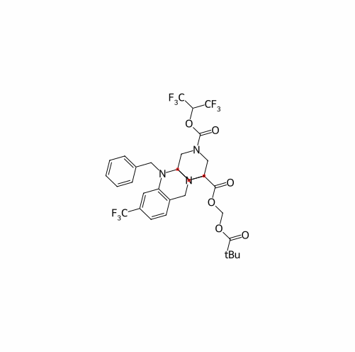 CC(C)(C)C(=O)OCOC(=O)CCCN(Cc1ccccc1)c1cc(C(F)(F)F)ccc1CN1CCN(C(=O)OC(C(F)(F)F)C(F)(F)F)CC1